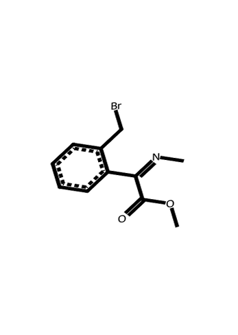 CN=C(C(=O)OC)c1ccccc1CBr